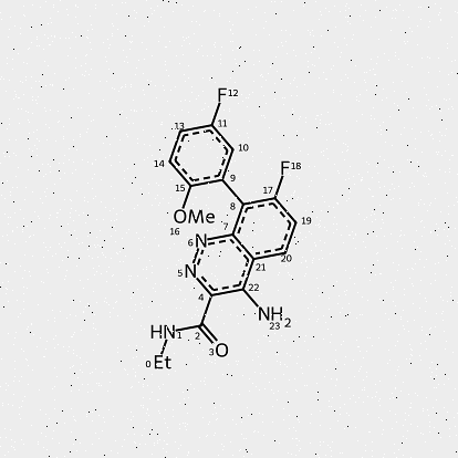 CCNC(=O)c1nnc2c(-c3cc(F)ccc3OC)c(F)ccc2c1N